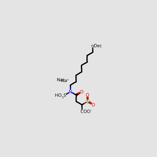 CCCCCCCCCCCCCCCCCCN(C(=O)CC(C(=O)[O-])[S-](=O)=O)S(=O)(=O)O.[Na+].[Na+]